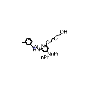 CCCN(CCC)c1cc(N/N=C/c2cccc(C)c2)nc(OCCOCCO)c1